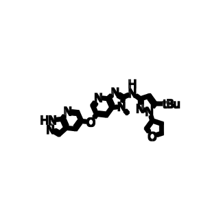 Cn1c(Nc2cc(C(C)(C)C)n(C3CCOC3)n2)nc2ncc(Oc3cnc4[nH]ncc4c3)cc21